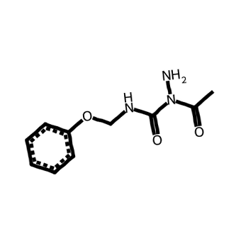 CC(=O)N(N)C(=O)NCOc1ccccc1